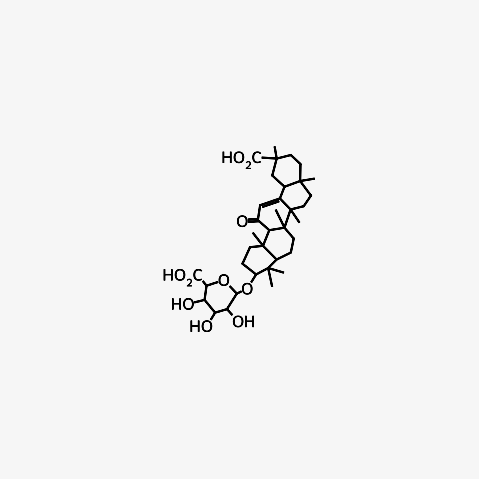 CC1(C(=O)O)CCC2(C)CCC3(C)C(=CC(=O)C4C5(C)CCC(OC6OC(C(=O)O)C(O)C(O)C6O)C(C)(C)C5CCC43C)C2C1